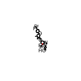 COC1(c2ccc(C(F)(F)F)cc2)CC(C)N(C)C(COc2cc(C(F)(F)F)c3c(c2)ncn3C2CC(C)(O)C2)C1